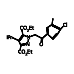 CCOC(=O)c1nn(CC(=O)c2ccc(Cl)c(C)c2)c(C(=O)OCC)c1C(C)C